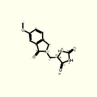 COc1ccc2c(c1)C(=O)N(C[C@H]1NC(=O)NC1=O)C2